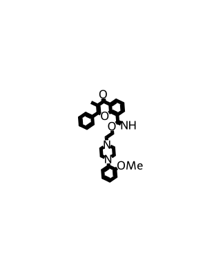 COc1ccccc1N1CCN(CCOC(=N)c2cccc3c(=O)c(C)c(-c4ccccc4)oc23)CC1